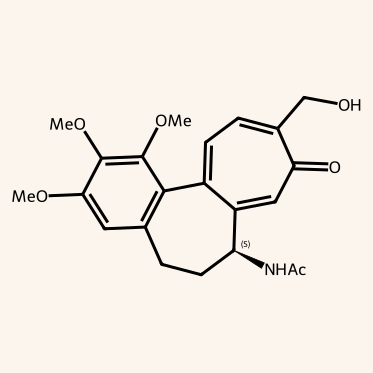 COc1cc2c(c(OC)c1OC)-c1ccc(CO)c(=O)cc1[C@@H](NC(C)=O)CC2